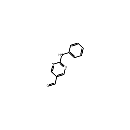 O=Cc1cnc(Nc2ccccc2)nc1